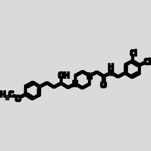 COc1ccc(CCC(O)CN2CCN(CC(=O)NCc3ccc(Cl)c(Cl)c3)CC2)cc1